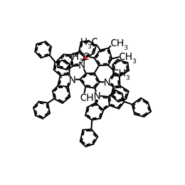 Cc1c(C)c(C)c(-c2c(-n3c4ccccc4c4ccccc43)c(-n3c4ccc(-c5ccccc5)cc4c4cc(-c5ccccc5)ccc43)c(C)c(-n3c4ccc(-c5ccccc5)cc4c4cc(-c5ccccc5)ccc43)c2-n2c3ccccc3c3ccccc32)c(C)c1C